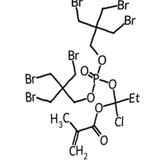 C=C(C)C(=O)OC(Cl)(CC)OP(=O)(OCC(CBr)(CBr)CBr)OCC(CBr)(CBr)CBr